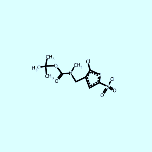 CN(Cc1cc(S(=O)(=O)Cl)sc1Cl)C(=O)OC(C)(C)C